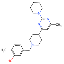 Cc1cc(C2CCN(Cc3ccc(C)c(O)c3)CC2)nc(N2CCCCC2)n1